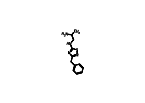 CC(N)CNc1nc(Cc2ccccc2)ns1